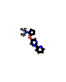 CN(C)C1CCC[C@H]1Oc1cnc(-c2ccccn2)nc1